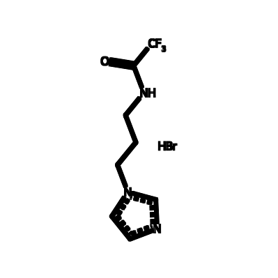 Br.O=C(NCCCn1ccnc1)C(F)(F)F